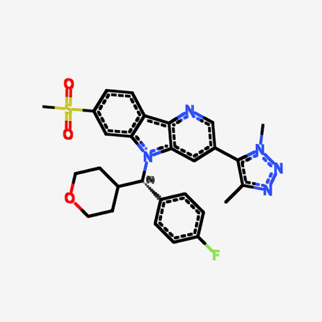 Cc1nnn(C)c1-c1cnc2c3ccc(S(C)(=O)=O)cc3n([C@H](c3ccc(F)cc3)C3CCOCC3)c2c1